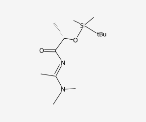 C/C(=N\C(=O)[C@H](C)O[Si](C)(C)C(C)(C)C)N(C)C